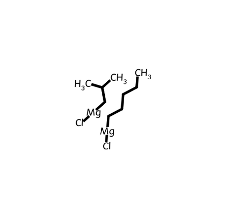 CC(C)[CH2][Mg][Cl].CCCC[CH2][Mg][Cl]